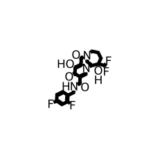 O=C(NCc1ccc(F)cc1F)c1cn2c(c(O)c1=O)C(=O)N1CCCC(O)(C(F)F)C2C1